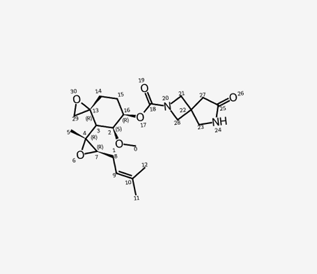 CO[C@H]1C([C@@]2(C)O[C@@H]2CC=C(C)C)[C@]2(CC[C@H]1OC(=O)N1CC3(CNC(=O)C3)C1)CO2